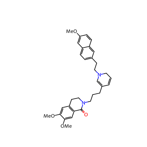 COc1ccc2cc(CCN3C=C(CCCN4CCc5cc(OC)c(OC)cc5C4=O)C=CC3)ccc2c1